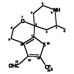 CC1CC2(CCN1)OCCc1c2sc(C(F)(F)F)c1C=O